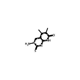 Cc1c(C)c2cn(N)c(=S)nc2[nH]c1=O